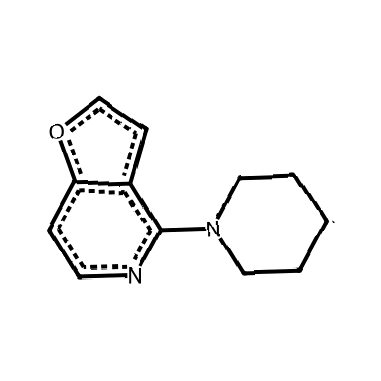 [CH]1CCN(c2nccc3occc23)CC1